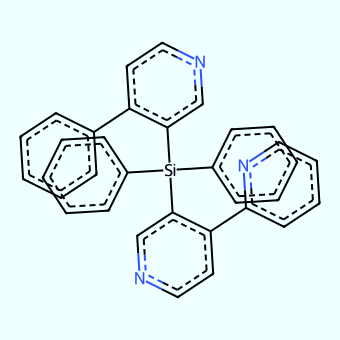 c1ccc(-c2ccncc2[Si](c2ccccc2)(c2ccccc2)c2cnccc2-c2ccccn2)cc1